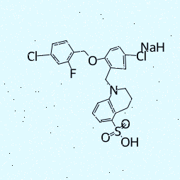 O=S(=O)(O)c1cccc2c1CCCN2Cc1cc(Cl)ccc1OCc1ccc(Cl)cc1F.[NaH]